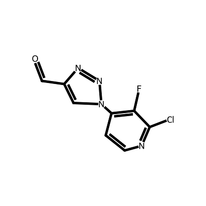 O=Cc1cn(-c2ccnc(Cl)c2F)nn1